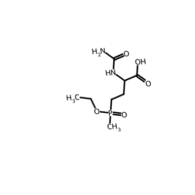 CCOP(C)(=O)CCC(NC(N)=O)C(=O)O